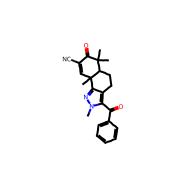 Cn1nc2c(c1C(=O)c1ccccc1)CCC1C(C)(C)C(=O)C(C#N)=CC21C